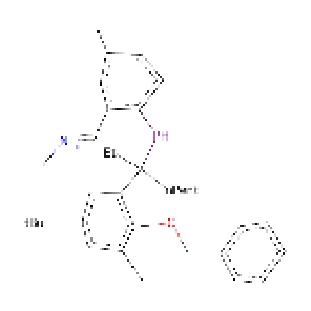 CCCCCC(CC)(Pc1ccc(C)cc1/C=N/C)c1cc(C(C)(C)C)cc(C)c1OCc1ccccc1